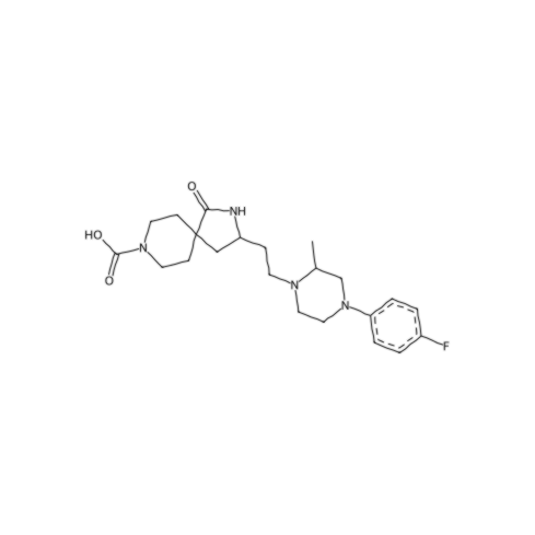 CC1CN(c2ccc(F)cc2)CCN1CCC1CC2(CCN(C(=O)O)CC2)C(=O)N1